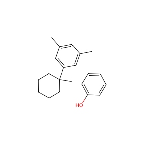 Cc1cc(C)cc(C2(C)CCCCC2)c1.Oc1ccccc1